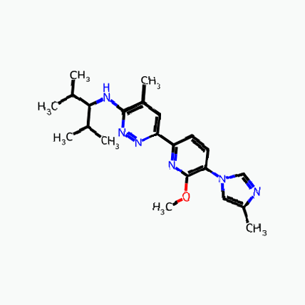 COc1nc(-c2cc(C)c(NC(C(C)C)C(C)C)nn2)ccc1-n1cnc(C)c1